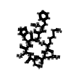 C[C@H](NC(=O)[C@H](CO)NC(=O)[C@H](CC(=O)O)NC(=O)[C@@H](N)CCCCN)C(=O)N[C@@H](Cc1c[nH]cn1)C(=O)NCC(=O)N[C@@H](Cc1ccccc1)C(=O)O